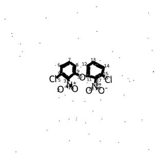 O=[N+]([O-])c1c(Cl)cccc1Oc1cccc(Cl)c1[N+](=O)[O-]